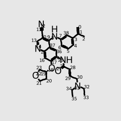 C=C(C)c1cccc(Nc2c(C#N)cnc3cc(O[C@H]4CCOC4)c(NC(=O)/C=C/CN(CC)CC)cc23)c1